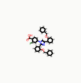 O=C(O)c1ccc(-n2cc(-c3ccccc3OCc3ccccc3)nc2-c2ccccc2OCc2ccccc2)cc1F